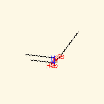 CCCCCCCCCCCCCCCCCCCCCC(=O)OC[C@H](CSC[C@H](NC(=O)CCCCCCCCCCCCCCC)C(=O)O)OC(=O)CCCCCCCCCCCCCCCCCCCCC